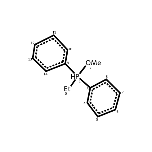 CC[PH](OC)(c1ccccc1)c1ccccc1